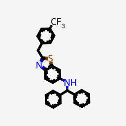 FC(F)(F)c1ccc(Cc2nc3ccc(NC(c4ccccc4)c4ccccc4)cc3s2)cc1